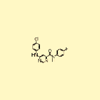 O=C(Nc1ccc(F)cc1)c1cc(Nc2ccc(Cl)cc2)ncn1